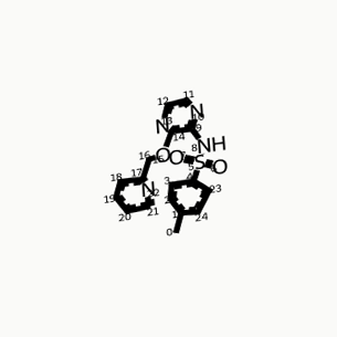 Cc1ccc(S(=O)(=O)Nc2nccnc2OCc2ccccn2)cc1